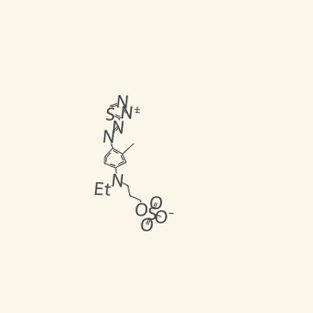 CCN(CCCOS(=O)(=O)[O-])c1ccc(N=Nc2scn[n+]2C)c(C)c1